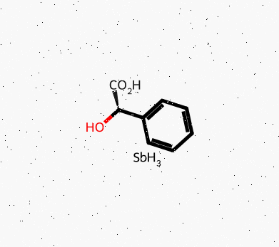 O=C(O)[C@H](O)c1ccccc1.[SbH3]